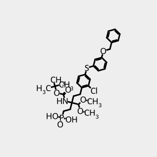 COC(OC)C(CCc1ccc(Sc2cccc(OCc3ccccc3)c2)cc1Cl)(CCP(=O)(O)O)NC(=O)OC(C)(C)C